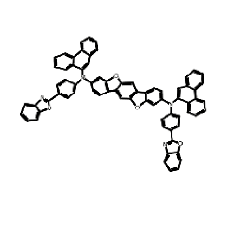 c1ccc2c(c1)cc(N(c1ccc(-c3nc4ccccc4o3)cc1)c1ccc3c(c1)oc1cc4c(cc13)oc1cc(N(c3ccc(-c5nc6ccccc6o5)cc3)c3cc5ccccc5c5ccccc35)ccc14)c1ccccc12